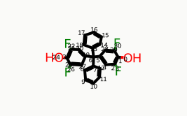 Oc1c(F)cc(C(c2ccccc2)(c2ccccc2)c2cc(F)c(O)c(F)c2)cc1F